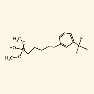 CO[Si](O)(CCCCCc1cccc(C(F)(F)F)c1)OC